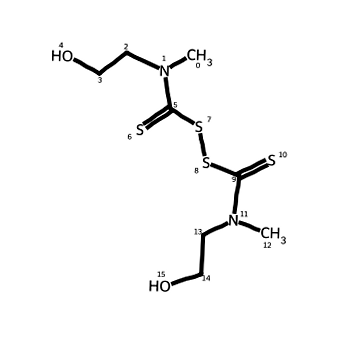 CN(CCO)C(=S)SSC(=S)N(C)CCO